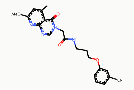 COc1cc(C)c2c(=O)n(CC(=O)NCCCOc3cccc(C#N)c3)cnc2n1